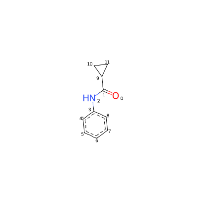 O=C(Nc1[c]cccc1)C1CC1